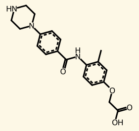 Cc1cc(OCC(=O)O)ccc1NC(=O)c1ccc(N2CCNCC2)cc1